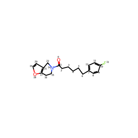 O=C(CCCCCc1ccc(F)cc1)N1CCc2occc2C1